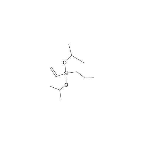 C=C[Si](CCC)(OC(C)C)OC(C)C